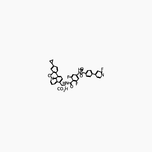 O=C(N[C@@H](Cc1ccc(-c2ccc(C3CC3)cc2Cl)c2ncccc12)C(=O)O)c1c(F)cc(NS(=O)(=O)c2ccc(-c3ccnc(F)c3)cc2)cc1F